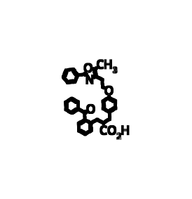 Cc1oc(-c2ccccc2)nc1CCOc1ccc(C[C@H](Cc2ccccc2C(=O)c2ccccc2)C(=O)O)cc1